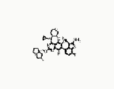 C[C@H]1CN2CCC[C@@]2(COc2nc3c4c(c(Cl)c(-c5ccc(F)c6sc(N)c(C#N)c56)c(F)c4n2)OC2COCCC2N3C2CC2)C1